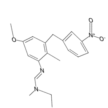 CCN(C)C=Nc1cc(OC)cc(Cc2cccc([N+](=O)[O-])c2)c1C